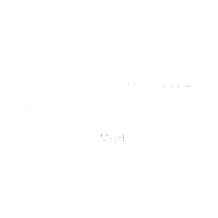 CC(C)(Oc1ccc(Cl)cc1)C(=O)O.[MgH2]